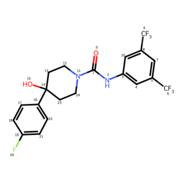 O=C(Nc1cc(C(F)(F)F)cc(C(F)(F)F)c1)N1CCC(O)(c2ccc(F)cc2)CC1